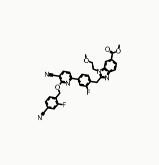 COCCn1c(Cc2ccc(-c3ccc(C#N)c(OCc4ccc(C#N)cc4F)n3)cc2F)nc2ccc(C(=O)OC)cc21